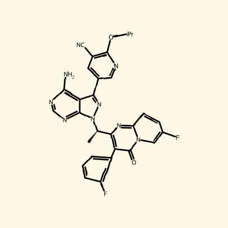 CC(C)Oc1ncc(-c2nn([C@H](C)c3nc4ccc(F)cn4c(=O)c3-c3cccc(F)c3)c3ncnc(N)c23)cc1C#N